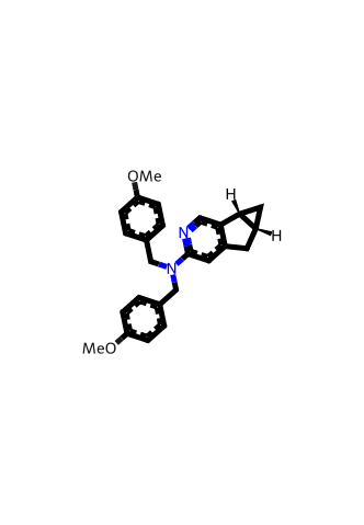 COc1ccc(CN(Cc2ccc(OC)cc2)c2cc3c(cn2)[C@@H]2C[C@@H]2C3)cc1